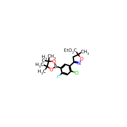 CCOC(=O)C1(C)CC(c2cc(B3OC(C)(C)C(C)(C)O3)c(F)cc2Cl)=NO1